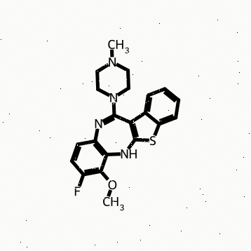 COc1c(F)ccc2c1Nc1sc3ccccc3c1C(N1CCN(C)CC1)=N2